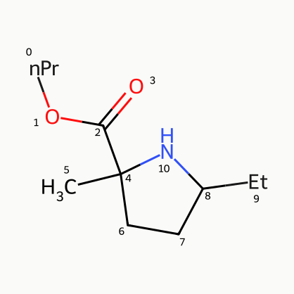 CCCOC(=O)C1(C)CCC(CC)N1